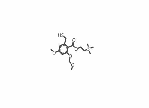 COCOc1cc(OC)cc(CS)c1C(=O)OCC[Si](C)(C)C